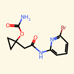 NC(=O)OC1(CC(=O)Nc2cccc(Br)n2)CC1